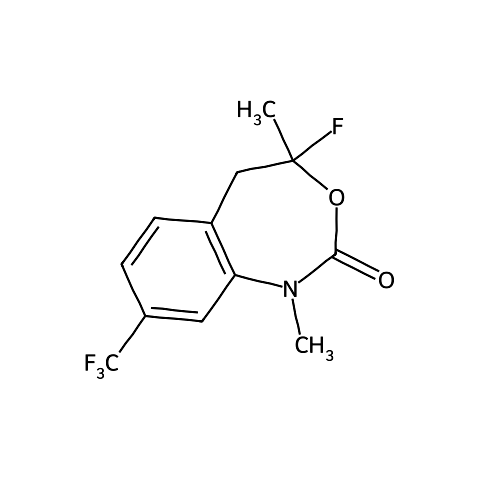 CN1C(=O)OC(C)(F)Cc2ccc(C(F)(F)F)cc21